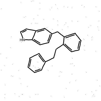 c1ccc(CCc2ccccc2Cc2ccc3[nH]ccc3c2)cc1